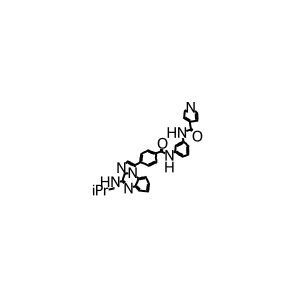 CC(C)CNc1nc2ccccc2n2c(-c3ccc(C(=O)Nc4cccc(NC(=O)c5ccncc5)c4)cc3)cnc12